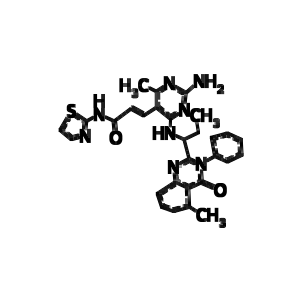 CCC(Nc1nc(N)nc(C)c1/C=C/C(=O)Nc1nccs1)c1nc2cccc(C)c2c(=O)n1-c1ccccc1